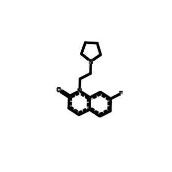 O=c1ccc2ccc(F)cc2n1CCN1CCCC1